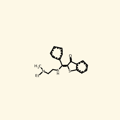 CCN(C)CCNC(=C1Sc2ccccc2C1=O)c1ccccc1